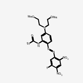 CCC(=O)Nc1cc(N(CCOC)CCOC)ccc1/N=N/c1cc(F)c([N+](=O)[O-])cc1[N+](=O)[O-]